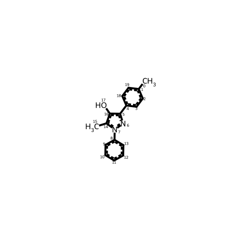 Cc1ccc(-c2nn(-c3ccccc3)c(C)c2O)cc1